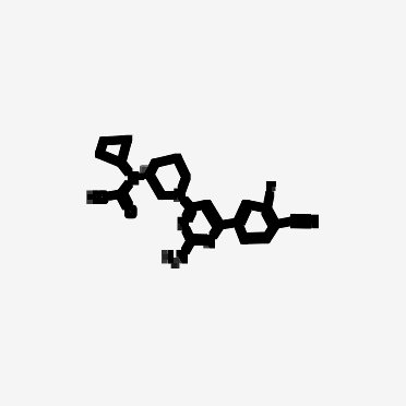 N#Cc1ccc(-c2cc(N3CCC[C@@H](N(C(=O)O)C4CCC4)C3)nc(N)n2)cc1F